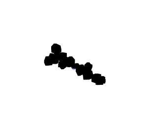 CCC1(CC)c2cc(/C=C/c3ccc4c(c3)C(CC)(CC)c3cc(N(c5ccccc5)c5cc6ccccc6o5)ccc3-4)ccc2-c2ccc(-c3ccc([Si](C)(C)C)cc3)cc21